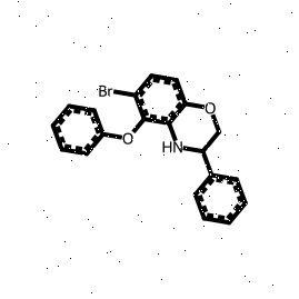 Brc1ccc2c(c1Oc1ccccc1)NC(c1ccccc1)CO2